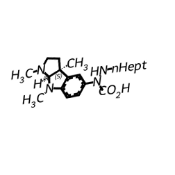 CCCCCCCNN(C(=O)O)c1ccc2c(c1)[C@]1(C)CCN(C)[C@@H]1N2C